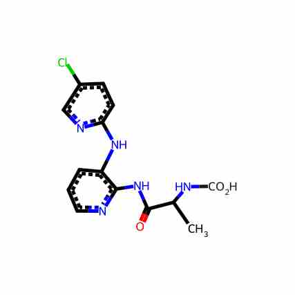 CC(NC(=O)O)C(=O)Nc1ncccc1Nc1ccc(Cl)cn1